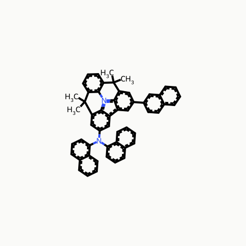 CC1(C)c2cccc3c2-n2c4c1cc(-c1ccc5ccccc5c1)cc4c1cc(N(c4cccc5ccccc45)c4cccc5ccccc45)cc(c12)C3(C)C